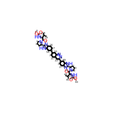 COC(=O)N[C@H](C(=O)N1CCC[C@H]1c1nc2ccc(-c3ccc4cc(-c5ccc6nc([C@@H]7CCCN7C(=O)[C@@H](NC(=O)OC)C(C)C)[nH]c6c5)nnc4c3)cc2[nH]1)C(C)C